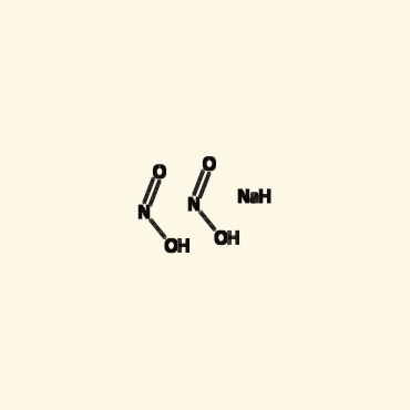 O=NO.O=NO.[NaH]